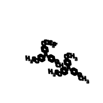 COc1ccc(P(c2ccc(OC)cc2)c2ccc(OC)cc2)cc1.COc1ccc(P(c2ccc(OC)cc2)c2ccc(OC)cc2)cc1.[Co]